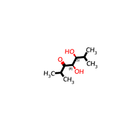 CC(C)C(=O)[C@H](O)[C@@H](O)C(C)C